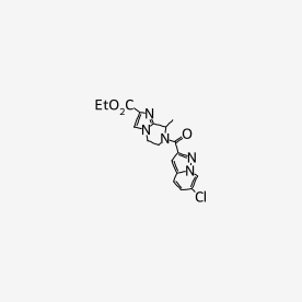 CCOC(=O)c1cn2c(n1)C(C)N(C(=O)c1cc3ccc(Cl)cn3n1)CC2